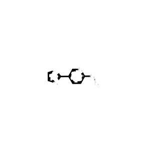 NNc1ccc(-c2ncco2)cn1